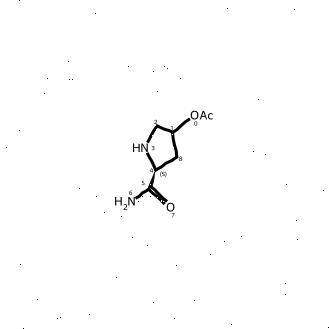 CC(=O)OC1CN[C@H](C(N)=O)C1